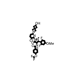 COc1cc(F)c(-c2c(NC(=O)c3ccc(OC(F)F)cc3)c(=O)n(-c3nc(N4CC5(CC(O)C5)C4)ccc3C(F)(F)F)n2C)c(F)c1